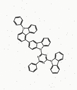 c1ccc(-c2nc(-n3c4ccccc4c4ccccc43)nc(-n3c4ccccc4c4cc(-c5cccc6c5c5ccccc5n6-c5ccccc5)ccc43)n2)cc1